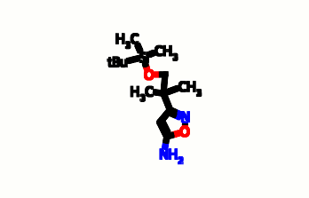 CC(C)(CO[Si](C)(C)C(C)(C)C)c1cc(N)on1